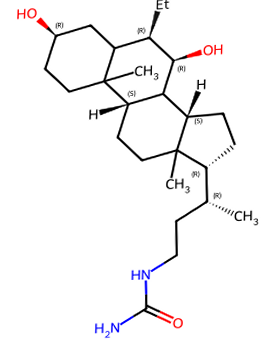 CC[C@@H]1C2C[C@H](O)CCC2(C)[C@H]2CCC3(C)[C@@H]([C@H](C)CCNC(N)=O)CC[C@H]3C2[C@@H]1O